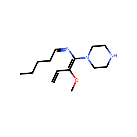 C=C/C(OC)=C(\N=C/CCCC)N1CCNCC1